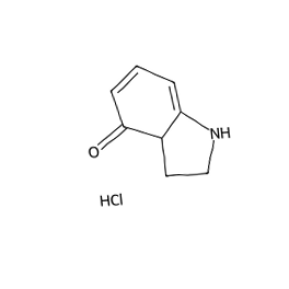 Cl.O=C1C=CC=C2NCCC12